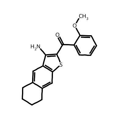 COc1ccccc1C(=O)c1sc2cc3c(cc2c1N)CCCC3